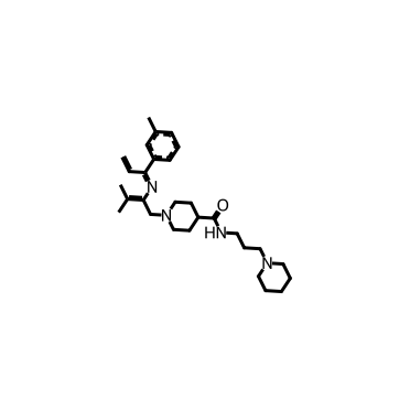 C=C/C(=N\C(CN1CCC(C(=O)NCCCN2CCCCC2)CC1)=C(C)C)c1cccc(C)c1